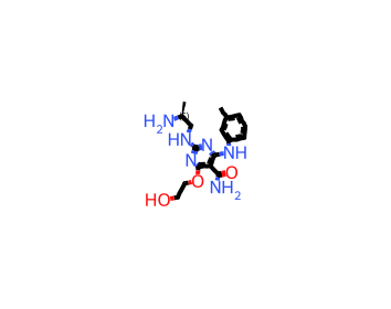 Cc1cccc(Nc2nc(NC[C@H](C)N)nc(OCCO)c2C(N)=O)c1